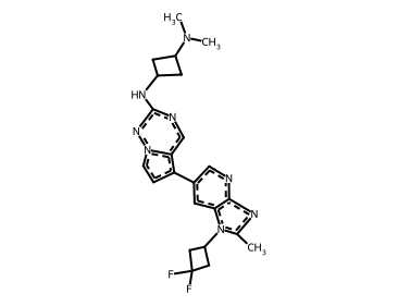 Cc1nc2ncc(-c3ccn4nc(NC5CC(N(C)C)C5)ncc34)cc2n1C1CC(F)(F)C1